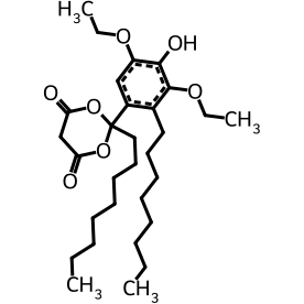 CCCCCCCCc1c(C2(CCCCCCCC)OC(=O)CC(=O)O2)cc(OCC)c(O)c1OCC